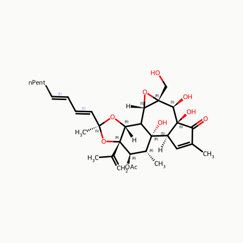 C=C(C)[C@@]12O[C@@](C)(/C=C/C=C/CCCCC)O[C@@H]1C1[C@@H]3O[C@]3(CO)[C@@H](O)[C@]3(O)C(=O)C(C)=C[C@H]3[C@@]1(O)[C@H](C)[C@H]2OC(C)=O